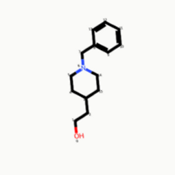 OCCC1CCN(Cc2ccccc2)CC1